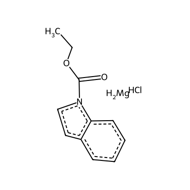 CCOC(=O)n1ccc2ccccc21.Cl.[MgH2]